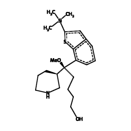 CO[C@](CCCCO)(c1cccc2cc([Si](C)(C)C)sc12)[C@@H]1CCCNC1